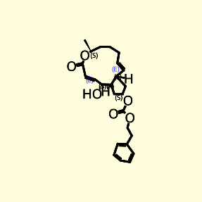 C[C@H]1CCC/C=C/[C@@H]2C[C@H](OC(=O)OCCc3ccccc3)C[C@H]2[C@H](O)/C=C/C(=O)O1